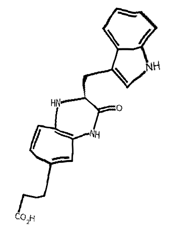 O=C(O)CCc1ccc2c(c1)NC(=O)[C@H](Cc1c[nH]c3ccccc13)N2